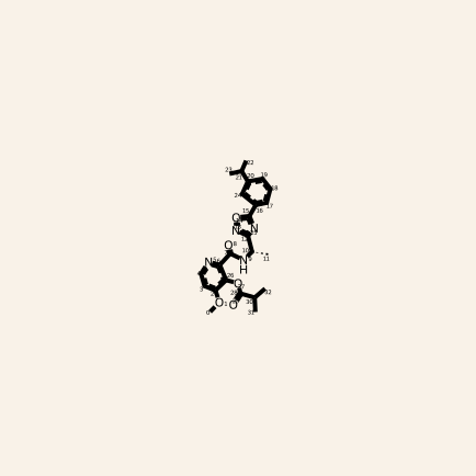 COc1ccnc(C(=O)N[C@@H](C)c2noc(-c3cccc(C(C)C)c3)n2)c1OC(=O)C(C)C